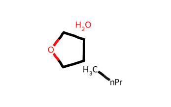 C1CCOC1.CCCC.O